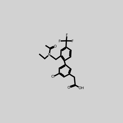 CCN(Cc1cc(C(F)(F)F)ccc1-c1cc(Cl)cc(CC(=O)O)c1)C(C)=O